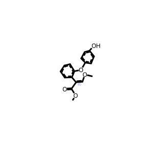 CO/C=C(/C(=O)OC)c1ccccc1Oc1ccc(O)cc1